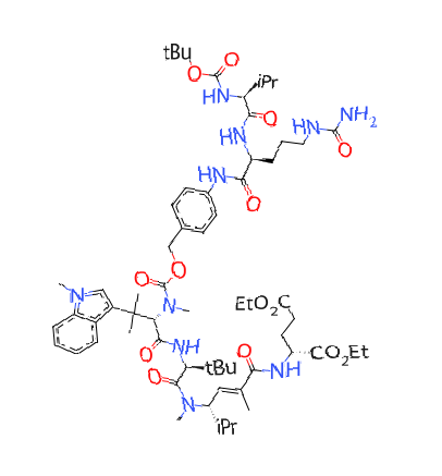 CCOC(=O)CC[C@@H](NC(=O)/C(C)=C/[C@H](C(C)C)N(C)C(=O)[C@@H](NC(=O)[C@@H](N(C)C(=O)OCc1ccc(NC(=O)[C@H](CCCNC(N)=O)NC(=O)[C@@H](NC(=O)OC(C)(C)C)C(C)C)cc1)C(C)(C)c1cn(C)c2ccccc12)C(C)(C)C)C(=O)OCC